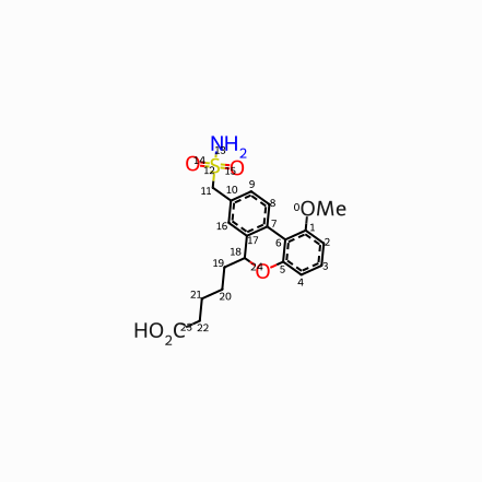 COc1cccc2c1-c1ccc(CS(N)(=O)=O)cc1C(CCCCC(=O)O)O2